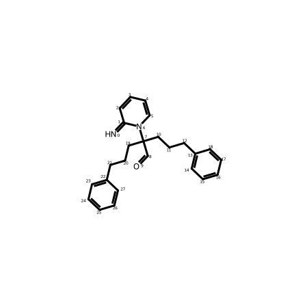 N=c1ccccn1C(C=O)(CCCc1ccccc1)CCCc1ccccc1